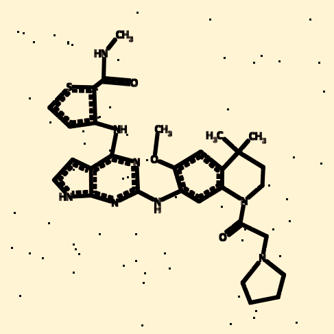 CNC(=O)c1sccc1Nc1nc(Nc2cc3c(cc2OC)C(C)(C)CCN3C(=O)CN2CCCC2)nc2[nH]ccc12